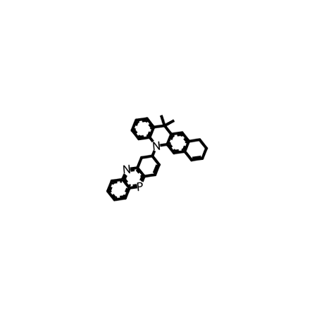 CC1(C)c2ccccc2N(C2C=Cc3pc4ccccc4nc3C2)c2cc3c(cc21)CCC=C3